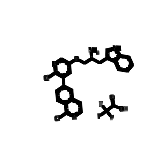 N[C@H](COc1cnc(Cl)c(-c2ccc3c(Cl)nccc3c2)c1)Cc1c[nH]c2ccccc12.O=C(O)C(F)(F)F